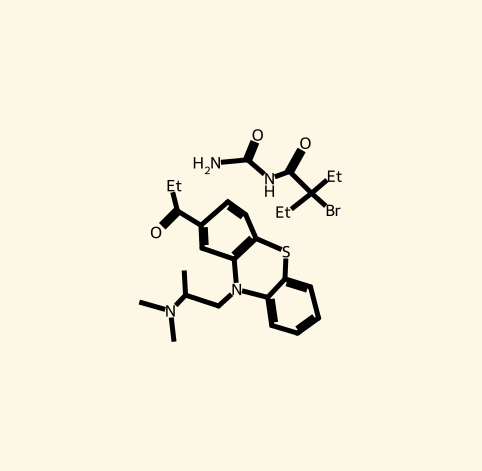 CCC(=O)c1ccc2c(c1)N(CC(C)N(C)C)c1ccccc1S2.CCC(Br)(CC)C(=O)NC(N)=O